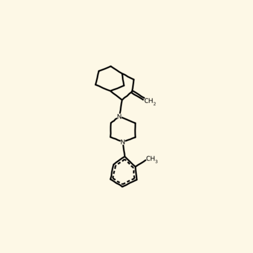 C=C1CC2CCCC(C2)C1N1CCN(c2ccccc2C)CC1